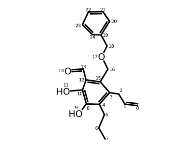 C=CCc1c(CCC)c(O)c(O)c(C=O)c1COCc1ccccc1